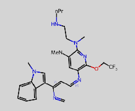 C=N/C(=C\C=N/c1cc(NC)c(N(C)CCNCCC)nc1OCC(F)(F)F)c1cn(C)c2ccccc12